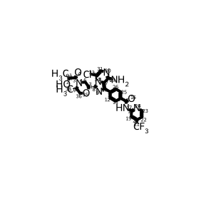 C[C@H](O)C(=O)N1C[C@H](c2nc(-c3ccc(C(=O)Nc4cc(C(F)(F)F)ccn4)cc3)c3c(N)ncc(Cl)n23)OC[C@@H]1C